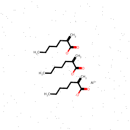 C=C(CCCCC)C(=O)[O-].C=C(CCCCC)C(=O)[O-].C=C(CCCCC)C(=O)[O-].[Al+3]